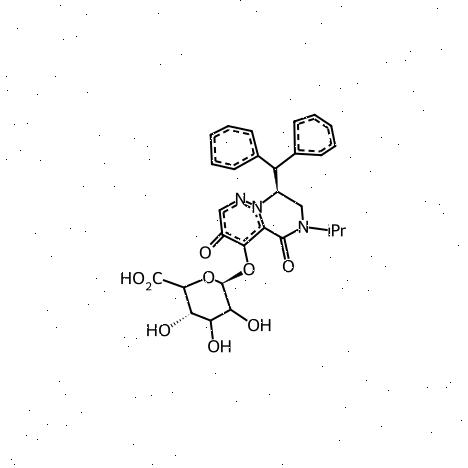 CC(C)N1C[C@H](C(c2ccccc2)c2ccccc2)n2ncc(=O)c(O[C@@H]3OC(C(=O)O)[C@@H](O)C(O)C3O)c2C1=O